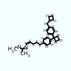 C=N/C(C)=N\C=C/CCCc1ccc(C2(c3ccc(CC4CCC4)cc3)CCC2)cc1